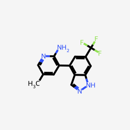 Cc1cnc(N)c(-c2cc(C(F)(F)F)cc3[nH]ncc23)c1